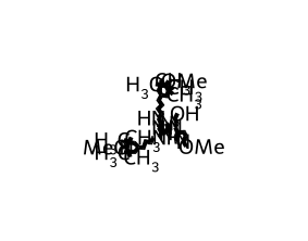 CON1CCC(N(CCO)c2nc(NCCCCC3CC(C)(C)N(OC)C(C)(C)C3)nc(NCCCCC3CC(C)(C)N(OC)C(C)(C)C3)n2)CC1